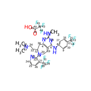 CNc1nc2c(c(Nc3ccc(C(F)(F)F)cc3)n1)CCN(c1ncccc1C(F)(F)F)C(CCN(C)C)C2.O=C(O)C(F)(F)F